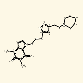 Cn1c(=O)c2c(ncn2CCCc2noc(CCN3CCOCC3)n2)n(C)c1=O